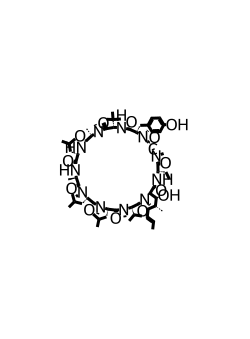 C/C=C/C[C@@H](C)[C@@H](O)[C@H]1C(=O)N[C@@H](CC)C(=O)N(C)CC(=O)N(C)[C@@H](Cc2ccc(O)cc2)C(=O)N[C@@H](C(C)(C)C)C(=O)N(C)[C@@H](C)C(=O)N[C@@H](CC(C)C)C(=O)N[C@H](C)C(=O)N(C)[C@@H](CC(C)C)C(=O)N(C)[C@@H](CC(C)C)C(=O)N(C)[C@@H](C(C)C)C(=O)N1C